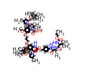 C=CCOC(=O)N[C@H](C(=O)N[C@@H](C)C(=O)Nc1ccc(COC(=O)Nc2cc(OCCCOc3cc(N(C(=O)O)C(C)(C)C)c(C(=O)N4CC(=C)C[C@H]4CO[Si](C)(C)C(C)(C)C)cc3OC)c(OC)cc2C(=O)N2CC(=C)C[C@H]2CO[Si](C)(C)C(C)(C)C)cc1)C(C)C